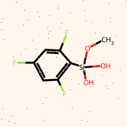 CO[Si](O)(O)c1c(F)cc(F)cc1F